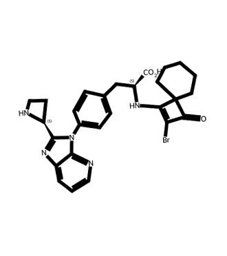 O=C(O)[C@H](Cc1ccc(-n2c([C@@H]3CCN3)nc3cccnc32)cc1)NC1=C(Br)C(=O)C12CCCCC2